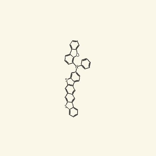 c1ccc(N(c2ccc3c(c2)sc2cc4cc5sc6ccccc6c5cc4cc23)c2cccc3c2oc2ccccc23)cc1